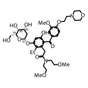 CCc1c(O[C@H]2C[C@@H](O)[C@@H](O)[C@@H](CO)O2)cc(O)c(C(=O)c2ccc(OCCN3CCOCC3)c(OC)c2)c1CC(=O)N(CCOC)CCOC